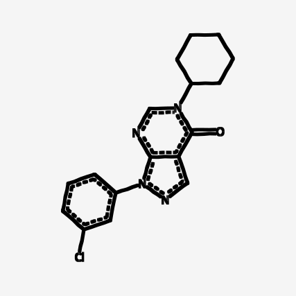 O=c1c2cnn(-c3cccc(Cl)c3)c2ncn1C1CCCCC1